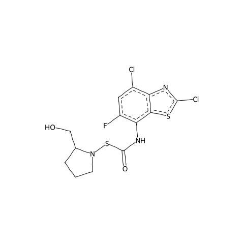 O=C(Nc1c(F)cc(Cl)c2nc(Cl)sc12)SN1CCCC1CO